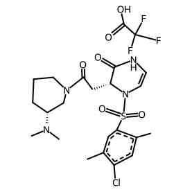 Cc1cc(S(=O)(=O)N2C=CNC(=O)[C@H]2CC(=O)N2CCC[C@@H](N(C)C)C2)c(C)cc1Cl.O=C(O)C(F)(F)F